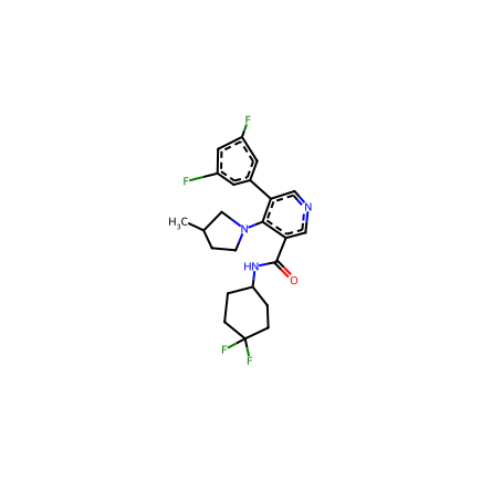 CC1CCN(c2c(C(=O)NC3CCC(F)(F)CC3)cncc2-c2cc(F)cc(F)c2)C1